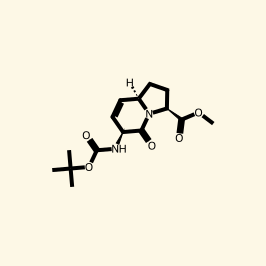 COC(=O)[C@@H]1CC[C@@H]2C=C[C@H](NC(=O)OC(C)(C)C)C(=O)N21